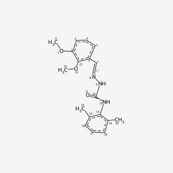 COc1cccc(/C=N/NC(=O)Nc2c(C)cccc2C)c1OC